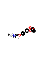 CN(C)CCCOc1ccc([C@H]2CC[C@]3(CC2)OO[C@]2(O3)C3CC4CC(C3)CC2C4)cc1